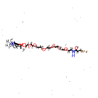 C[N+](C)(C)CCOCCOCCOCCOCCOCCOCCOCCNC(=O)CCS